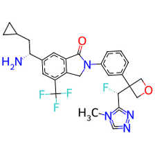 Cn1cnnc1[C@H](F)C1(c2cccc(N3Cc4c(cc([C@H](N)CC5CC5)cc4C(F)(F)F)C3=O)c2)COC1